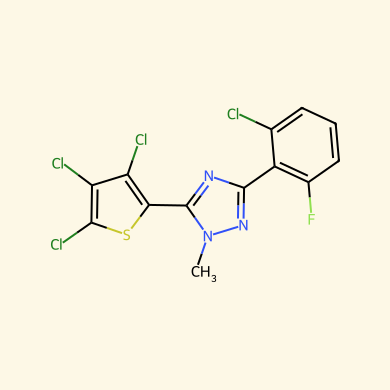 Cn1nc(-c2c(F)cccc2Cl)nc1-c1sc(Cl)c(Cl)c1Cl